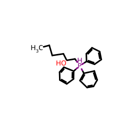 CCCCC(O)C[PH](c1ccccc1)(c1ccccc1)c1ccccc1